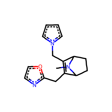 CN1C2CCC1C(Cn1cccc1)=C2Cc1ncco1